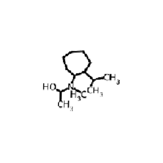 CC(C)C1CCCCCC1N(C)C(C)O